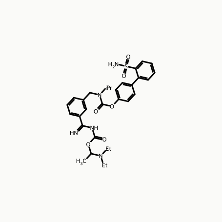 CCN(CC)C(C)OC(=O)NC(=N)c1cccc(CN(C(=O)Oc2ccc(-c3ccccc3S(N)(=O)=O)cc2)C(C)C)c1